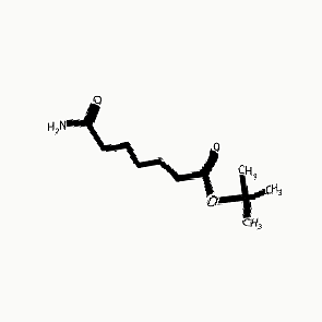 CC(C)(C)OC(=O)CCCCCC(N)=O